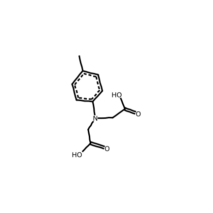 Cc1ccc(N(CC(=O)O)CC(=O)O)cc1